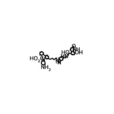 NC1CCC(N(C(=O)O)c2cc(CCCCn3nnc4cc(CNC[C@H](O)c5ccc(O)c6[nH]c(=O)ccc56)ccc43)ccc2-c2ccccc2)CC1